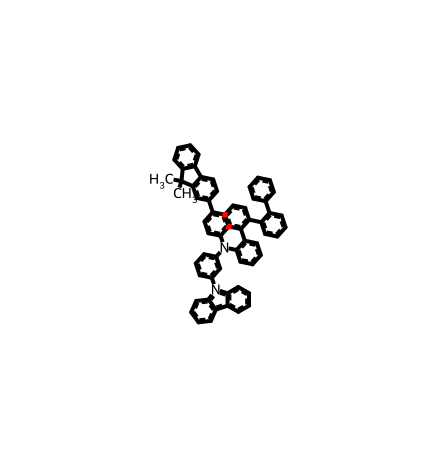 CC1(C)c2ccccc2-c2ccc(-c3ccc(N(c4cccc(-n5c6ccccc6c6ccccc65)c4)c4ccccc4-c4ccccc4-c4ccccc4-c4ccccc4)cc3)cc21